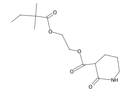 CCC(C)(C)C(=O)OCCOC(=O)C1CCCNC1=O